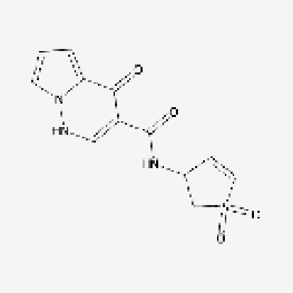 O=C(NC1C=CS(=O)(=O)C1)c1c[nH]n2cccc2c1=O